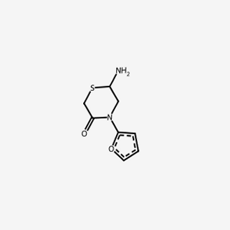 NC1CN(c2ccco2)C(=O)CS1